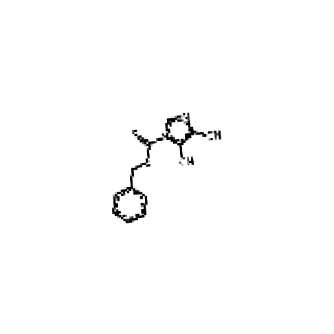 N#Cc1ncn(C(=S)SCc2ccccc2)c1C#N